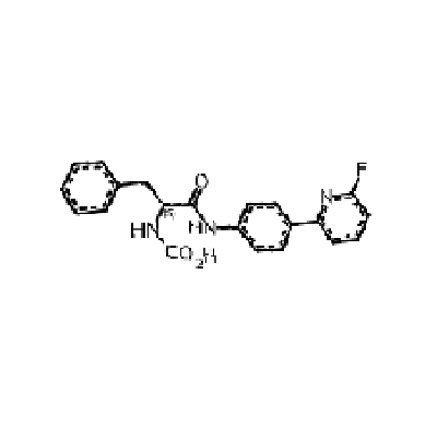 O=C(O)N[C@@H](Cc1ccccc1)C(=O)Nc1ccc(-c2cccc(F)n2)cc1